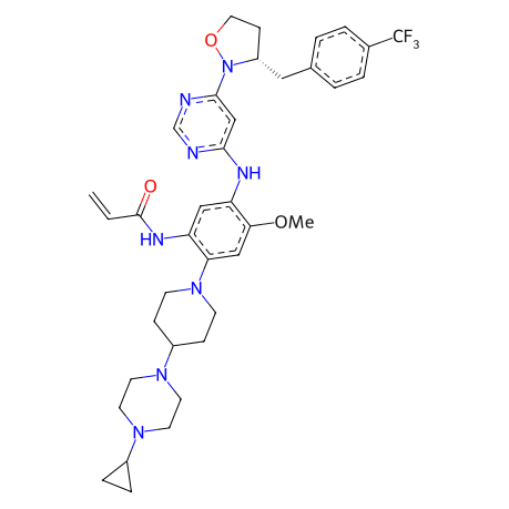 C=CC(=O)Nc1cc(Nc2cc(N3OCC[C@@H]3Cc3ccc(C(F)(F)F)cc3)ncn2)c(OC)cc1N1CCC(N2CCN(C3CC3)CC2)CC1